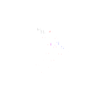 NN.O=S(=O)([O-])[O-].O=S(=O)([O-])[O-].O=S(=O)([O-])[O-].[Ho+3].[Ho+3]